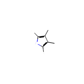 CC(=O)c1[nH]c(C(C)=O)c(C)c1C